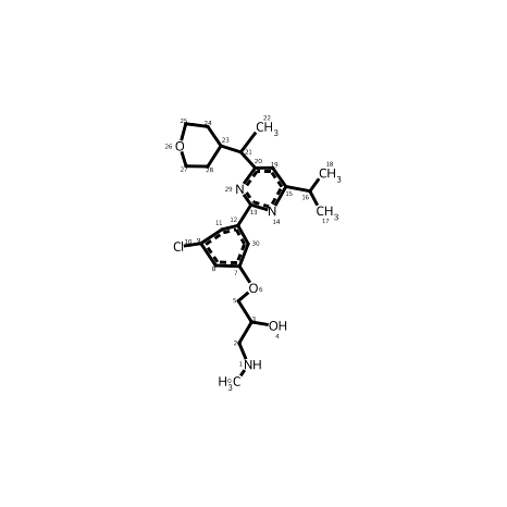 CNCC(O)COc1cc(Cl)cc(-c2nc(C(C)C)cc(C(C)C3CCOCC3)n2)c1